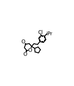 CC(C)c1ccc(CCC2(C3CCCC3)CC(=O)CC(=O)O2)cc1Cl